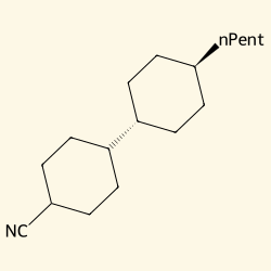 CCCCC[C@H]1CC[C@H](C2CCC(C#N)CC2)CC1